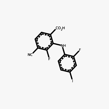 N#Cc1ccc(C(=O)O)c(Nc2ccc(I)cc2F)c1F